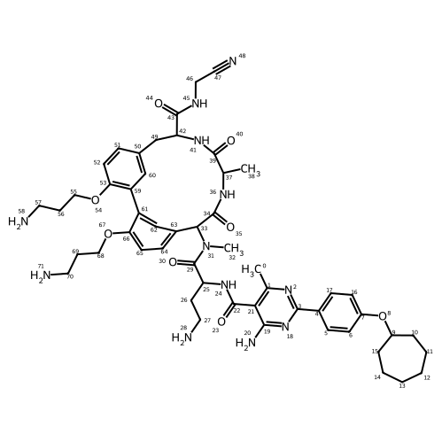 Cc1nc(-c2ccc(OC3CCCCCC3)cc2)nc(N)c1C(=O)NC(CCN)C(=O)N(C)C1C(=O)NC(C)C(=O)NC(C(=O)NCC#N)Cc2ccc(OCCCN)c(c2)-c2cc1ccc2OCCCN